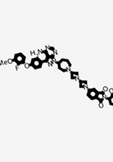 COc1cccc(Oc2ccc(-c3nn(C4CCCN(C5CN(C6CN(c7ccc8c(c7)C(=O)N(C7CCC(=O)NC7=O)C8=O)C6)C5)CC4)c4ncnc(N)c34)cc2)c1F